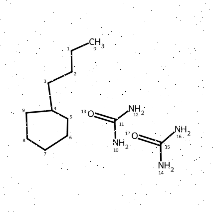 CCCCC1CCCCC1.NC(N)=O.NC(N)=O